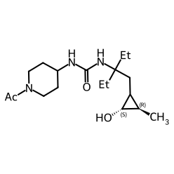 CCC(CC)(CC1[C@@H](C)[C@@H]1O)NC(=O)NC1CCN(C(C)=O)CC1